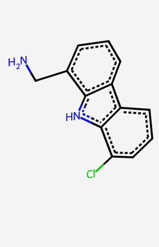 NCc1cccc2c1[nH]c1c(Cl)cccc12